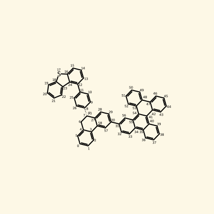 c1ccc2c(c1)C[C@H](c1ccc(-c3cccc4sc5ccccc5c34)cc1)c1ccc(-c3ccc4c5ccccc5c5c6ccccc6c6ccccc6c5c4c3)cc1-2